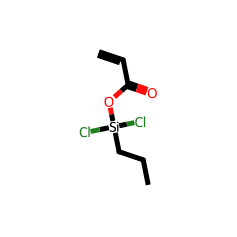 C=CC(=O)O[Si](Cl)(Cl)CCC